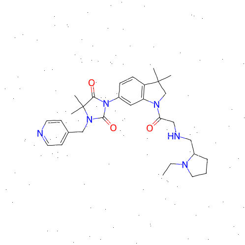 CCN1CCCC1CNCC(=O)N1CC(C)(C)c2ccc(N3C(=O)N(Cc4ccncc4)C(C)(C)C3=O)cc21